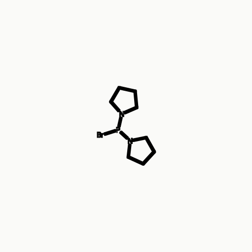 BrP(N1CCCC1)N1CCCC1